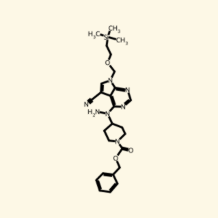 C[Si](C)(C)CCOCn1cc(C#N)c2c(N(N)C3CCN(C(=O)OCc4ccccc4)CC3)ncnc21